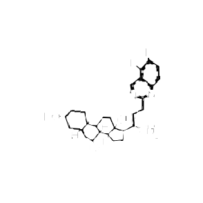 C[C@H](CCc1ncc2c(F)c(F)ccc2n1)[C@H]1CC[C@H]2[C@H]3C(CC[C@]12C)[C@@]1(C)CC[C@@H](O)C[C@H]1C[C@@H]3O